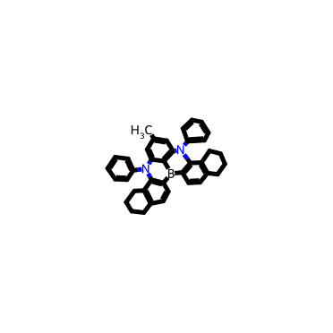 Cc1cc2c3c(c1)N(c1ccccc1)c1c(ccc4c1CCCC4)B3c1ccc3c(c1N2c1ccccc1)CCCC3